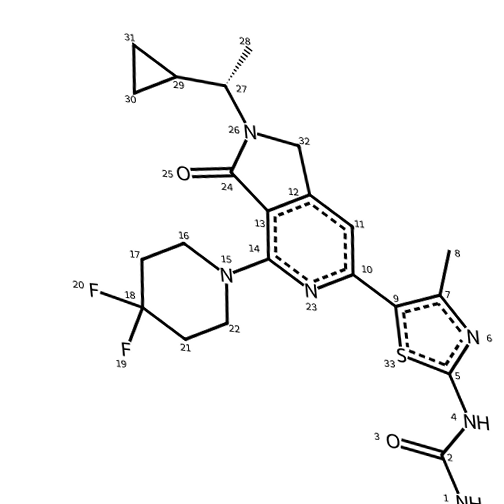 CNC(=O)Nc1nc(C)c(-c2cc3c(c(N4CCC(F)(F)CC4)n2)C(=O)N([C@@H](C)C2CC2)C3)s1